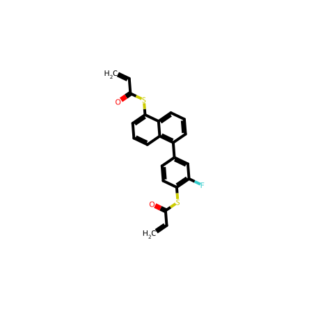 C=CC(=O)Sc1ccc(-c2cccc3c(SC(=O)C=C)cccc23)cc1F